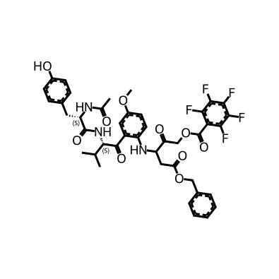 COc1ccc(NC(CC(=O)OCc2ccccc2)C(=O)COC(=O)c2c(F)c(F)c(F)c(F)c2F)c(C(=O)[C@@H](NC(=O)[C@H](Cc2ccc(O)cc2)NC(C)=O)C(C)C)c1